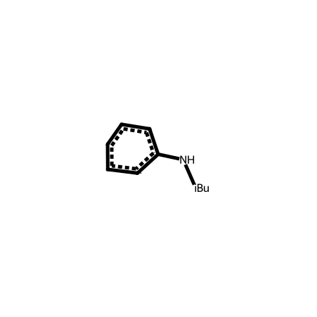 CCC(C)Nc1[c]cccc1